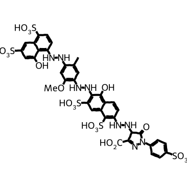 COc1cc(NNc2ccc(S(=O)(=O)O)c3cc(S(=O)(=O)O)cc(O)c23)c(C)cc1NNc1c(S(=O)(=O)O)cc2c(S(=O)(=O)O)c(NNC3C(=O)N(c4ccc(S(=O)(=O)O)cc4)N=C3C(=O)O)ccc2c1O